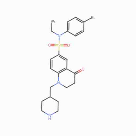 CCc1ccc(N(CC(C)C)S(=O)(=O)c2ccc3c(c2)C(=O)CCN3CC2CCNCC2)cc1